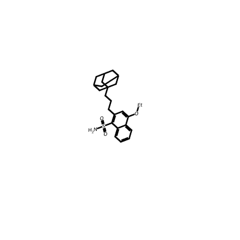 CCOc1cc(CCCC23CC4CC(CC(C4)C2)C3)c(S(N)(=O)=O)c2ccccc12